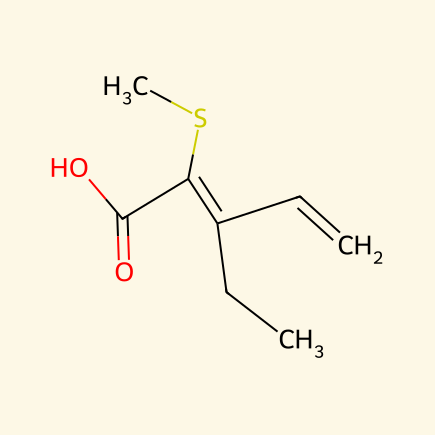 C=C/C(CC)=C(\SC)C(=O)O